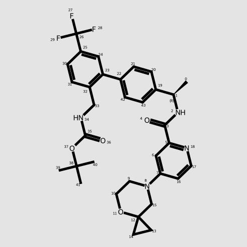 C[C@@H](NC(=O)c1cc(N2CCOC3(CC3)C2)ccn1)c1ccc(-c2cc(C(F)(F)F)ccc2CNC(=O)OC(C)(C)C)cc1